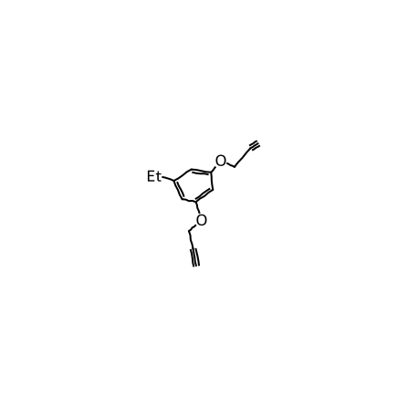 C#CCOc1cc(CC)cc(OCC#C)c1